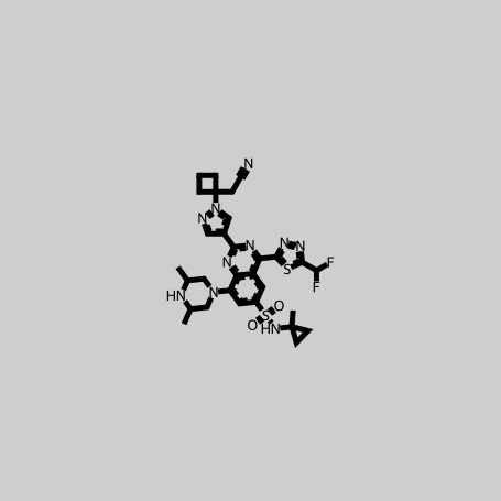 CC1CN(c2cc(S(=O)(=O)NC3(C)CC3)cc3c(-c4nnc(C(F)F)s4)nc(-c4cnn(C5(CC#N)CCC5)c4)nc23)CC(C)N1